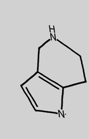 C1=CC2=C(CCNC2)[N]1